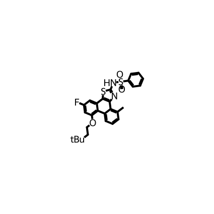 Cc1cccc2c3c(OCCC(C)(C)C)cc(F)cc3c3sc(NS(=O)(=O)c4ccccc4)nc3c12